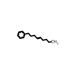 CCCC/C=C/CCCc1ccccc1